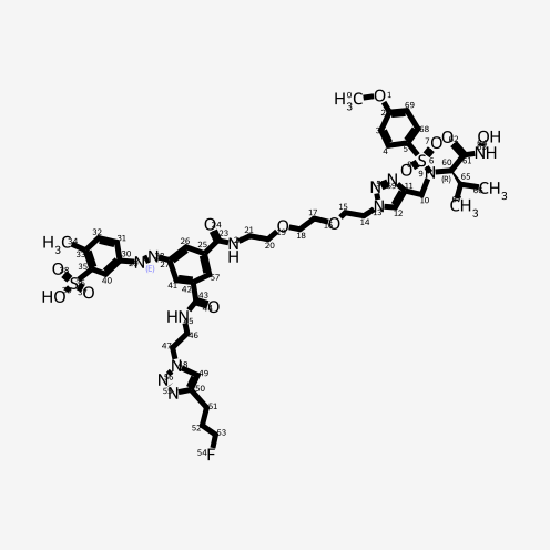 COc1ccc(S(=O)(=O)N(Cc2cn(CCOCCOCCNC(=O)c3cc(/N=N/c4ccc(C)c(S(=O)(=O)O)c4)cc(C(=O)NCCn4cc(CCCF)nn4)c3)nn2)[C@@H](C(=O)NO)C(C)C)cc1